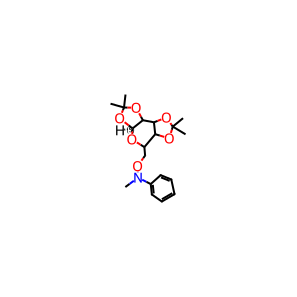 CN(OCC1O[C@H]2OC(C)(C)OC2C2OC(C)(C)OC12)c1ccccc1